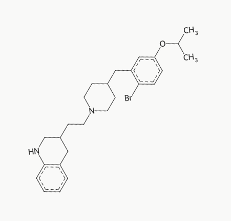 CC(C)Oc1ccc(Br)c(CC2CCN(CCC3CNc4ccccc4C3)CC2)c1